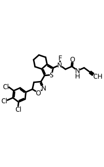 C#CCNC(=O)CN(F)c1sc(C2=NOC(c3cc(Cl)c(Cl)c(Cl)c3)C2)c2c1CCCC2